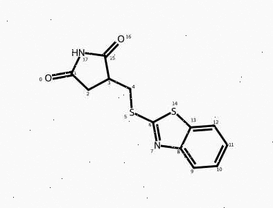 O=C1CC(CSc2nc3ccccc3s2)C(=O)N1